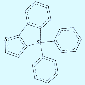 c1ccc([Si]2(c3ccccc3)c3ccccc3-c3sccc32)cc1